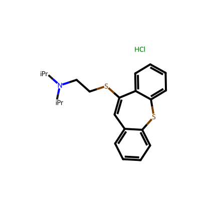 CC(C)N(CCSC1=Cc2ccccc2Sc2ccccc21)C(C)C.Cl